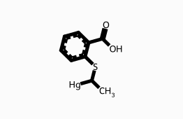 C[CH]([Hg])Sc1ccccc1C(=O)O